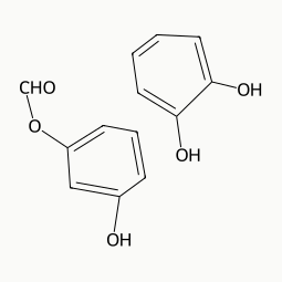 O=COc1cccc(O)c1.Oc1ccccc1O